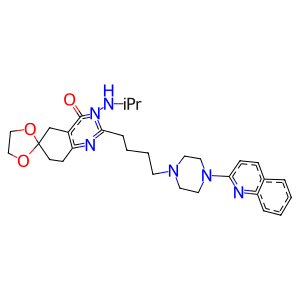 CC(C)Nn1c(CCCCN2CCN(c3ccc4ccccc4n3)CC2)nc2c(c1=O)CC1(CC2)OCCO1